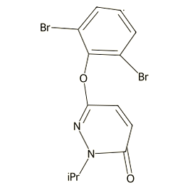 CC(C)n1nc(Oc2c(Br)c[c]cc2Br)ccc1=O